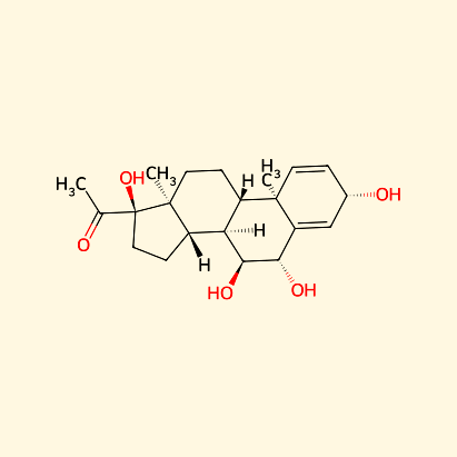 CC(=O)[C@@]1(O)CC[C@H]2[C@@H]3[C@H](O)[C@@H](O)C4=C[C@@H](O)C=C[C@]4(C)[C@H]3CC[C@@]21C